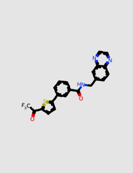 O=C(NCc1ccc2nccnc2c1)c1cccc(-c2ccc(C(=O)C(F)(F)F)s2)c1